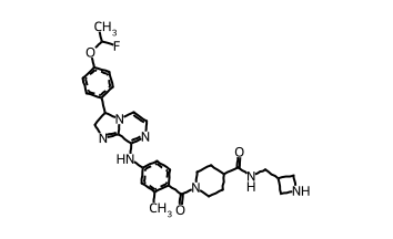 Cc1cc(NC2=NC=CN3C2=NCC3c2ccc(OC(C)F)cc2)ccc1C(=O)N1CCC(C(=O)NCC2CNC2)CC1